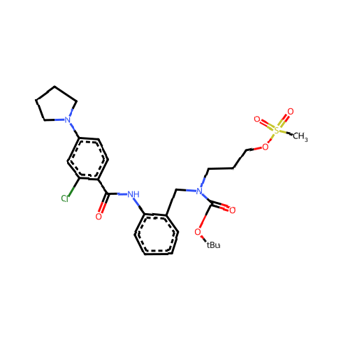 CC(C)(C)OC(=O)N(CCCOS(C)(=O)=O)Cc1ccccc1NC(=O)c1ccc(N2CCCC2)cc1Cl